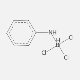 [Cl][BiH]([Cl])([Cl])[NH]c1ccccc1